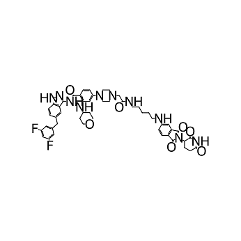 O=C(CN1CCN(c2ccc(C(=O)Nc3n[nH]c4ccc(Cc5cc(F)cc(F)c5)cc34)c(NC3CCOCC3)c2)CC1)NCCCCCNc1ccc2c(c1)C(=O)N(C1CCC(=O)NC1=O)C2=O